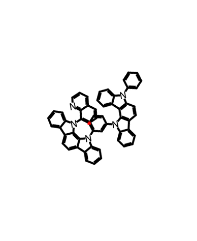 c1ccc(-n2c3ccccc3c3c2ccc2c4ccccc4n(-c4cccc(-n5c6ccccc6c6ccc7c8ccccc8n(-c8cccc9cccnc89)c7c65)c4)c23)cc1